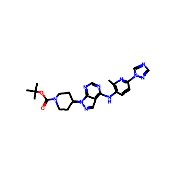 Cc1nc(-n2cncn2)ccc1Nc1ncnc2c1cnn2C1CCN(C(=O)OC(C)(C)C)CC1